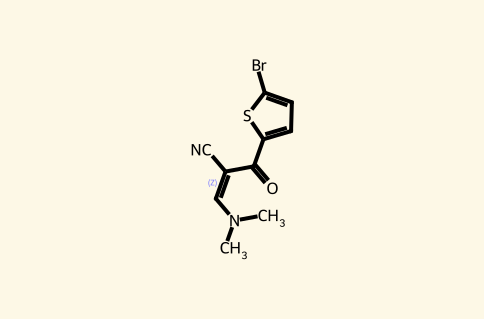 CN(C)/C=C(/C#N)C(=O)c1ccc(Br)s1